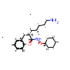 NCCCCC[C@H](Cc1ccccc1)C(=O)NOC1CCCCC1